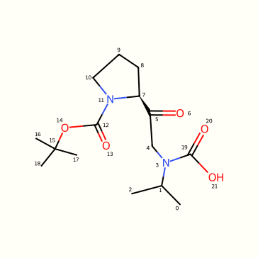 CC(C)N(CC(=O)[C@@H]1CCCN1C(=O)OC(C)(C)C)C(=O)O